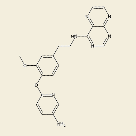 COc1cc(CCNc2ncnc3nccnc23)ccc1Oc1ccc(N)cn1